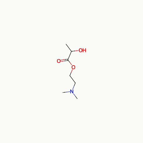 CC(O)C(=O)OCCN(C)C